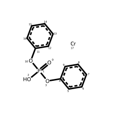 O=P(O)(Oc1ccccc1)Oc1ccccc1.[Cr]